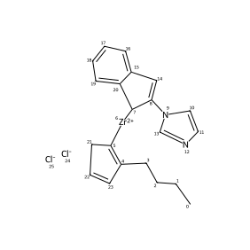 CCCCC1=[C]([Zr+2][CH]2C(n3ccnc3)=Cc3ccccc32)CC=C1.[Cl-].[Cl-]